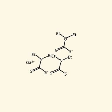 CCN(CC)C(=S)[S-].CCN(CC)C(=S)[S-].CCN(CC)C(=S)[S-].[Ga+3]